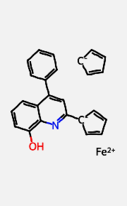 Oc1cccc2c(-c3ccccc3)cc(-[c-]3cccc3)nc12.[Fe+2].c1cc[cH-]c1